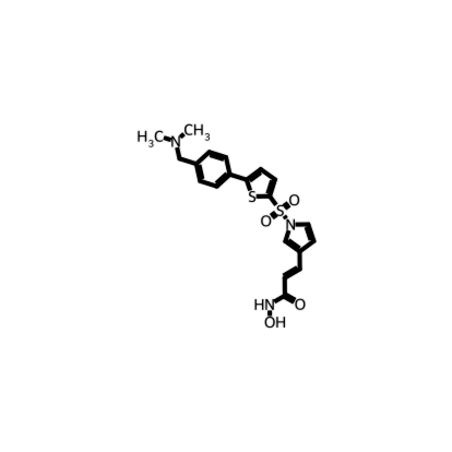 CN(C)Cc1ccc(-c2ccc(S(=O)(=O)n3ccc(C=CC(=O)NO)c3)s2)cc1